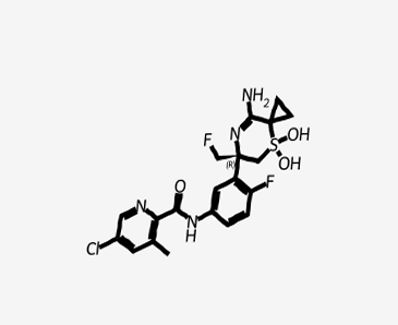 Cc1cc(Cl)cnc1C(=O)Nc1ccc(F)c([C@@]2(CF)CS(O)(O)C3(CC3)C(N)=N2)c1